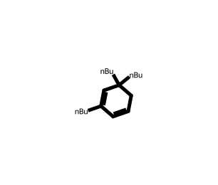 CCCCC1=CC(CCCC)(CCCC)CC=C1